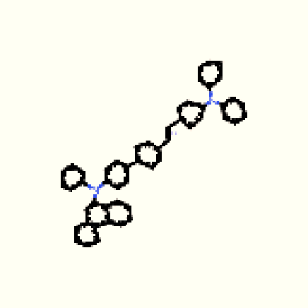 C(=C\c1ccc(N(c2ccccc2)c2ccccc2)cc1)/c1ccc(-c2ccc(N(c3ccccc3)c3cc4ccccc4c4ccccc34)cc2)cc1